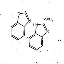 [SnH4].c1ccc2[nH]cnc2c1.c1ccc2ocnc2c1